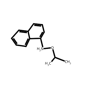 CC(C)O[SiH2]c1cccc2ccccc12